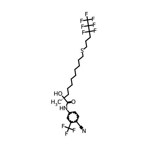 C[C@](O)(CCCCCCCCCSCCCC(F)(F)C(F)(F)C(F)(F)F)C(=O)Nc1ccc(C#N)c(C(F)(F)F)c1